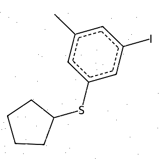 Cc1cc(I)cc(SC2CCCC2)c1